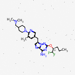 CCC[C@H](Oc1nc(N)c2ncc(Cc3cnc(N4CCC(CN(C)C)CC4)c(C)c3)n2n1)C(F)F